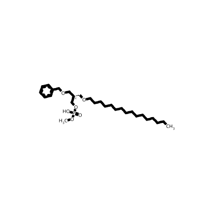 CCCCCCCCCCCCCCCCOC[C@@H](COCc1ccccc1)COP(=O)(O)OC